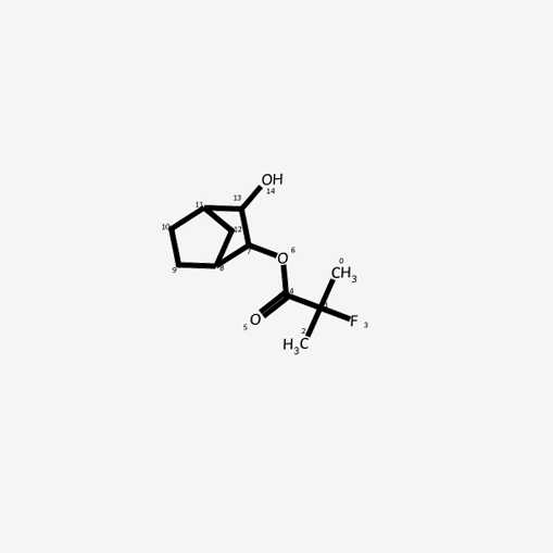 CC(C)(F)C(=O)OC1C2CCC(C2)C1O